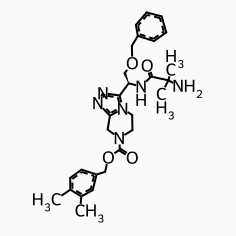 Cc1ccc(COC(=O)N2CCn3c(nnc3[C@@H](COCc3ccccc3)NC(=O)C(C)(C)N)C2)cc1C